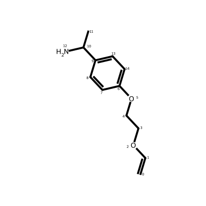 C=COCCOc1ccc(C(C)N)cc1